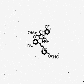 COC(=O)C1=C(C)N(c2cccc(C(F)(F)F)c2)c2n[nH]c(=O)n2[C@@H]1c1ccc(C#N)cc1CCC[n+]1cccc(COC=O)c1